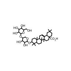 CC1(C)CCC2(C(=O)O)CCC3(C)C(=CCC4C5(C)CCC(OC6OCC(OC7OC(CO)C(O)C(O)C7O)C(O)C6O)C(C)(C)C5CCC43C)C2C1